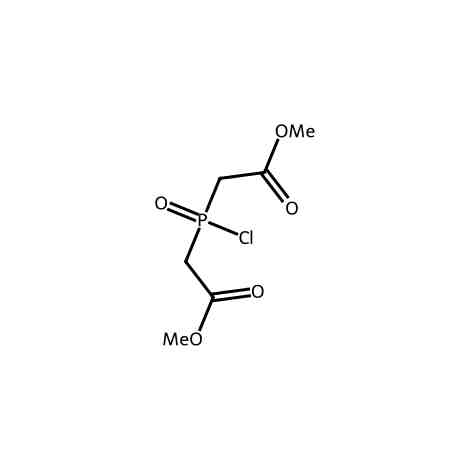 COC(=O)CP(=O)(Cl)CC(=O)OC